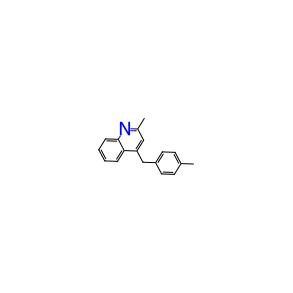 Cc1ccc(Cc2cc(C)nc3ccccc23)cc1